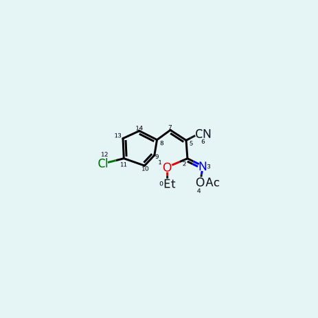 CCOC(=NOC(C)=O)C(C#N)=Cc1ccc(Cl)cc1